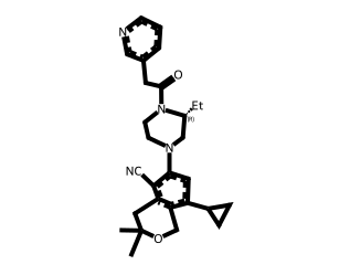 CC[C@@H]1CN(c2cc(C3CC3)c3c(c2C#N)CC(C)(C)OC3)CCN1C(=O)Cc1cccnc1